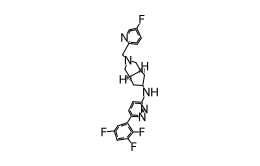 Fc1ccc(CN2C[C@H]3CC(Nc4ccc(-c5cc(F)cc(F)c5F)nn4)C[C@H]3C2)nc1